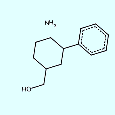 N.OCC1CCCC(c2ccccc2)C1